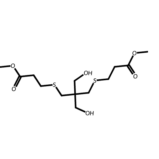 COC(=O)CCSCC(CO)(CO)CSCCC(=O)OC